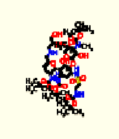 CN(C(=O)OC(C)(C)C)[C@@H]1[C@@H](O)[C@@H](O[C@@H]2[C@@H](O)[C@H](C3OC(CNCC(O)CO)=CC[C@H]3NC(=O)OC(C)(C)C)[C@@H](NC(=O)OC(C)(C)C)C[C@H]2NS(=O)(=O)CCNC(=O)OC(C)(C)C)OC[C@]1(C)O